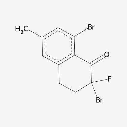 Cc1cc(Br)c2c(c1)CCC(F)(Br)C2=O